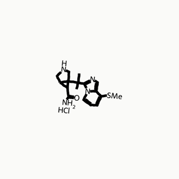 CSc1cccn2c(C(C)(C)C34CNCC3C4C(N)=O)ncc12.Cl